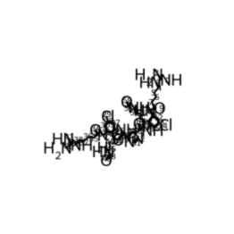 N=C(N)NCCCCC(=O)Nc1cc(Cl)cc(NC(=O)c2cc(C(=O)Nc3cc(Cl)cc(NC(=O)CCCCNC(=N)N)c3SCCNC=O)ncn2)c1SCCNC=O